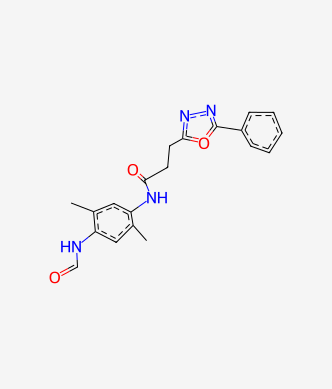 Cc1cc(NC(=O)CCc2nnc(-c3ccccc3)o2)c(C)cc1NC=O